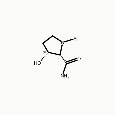 CCN1CC[C@@H](O)[C@H]1C(N)=O